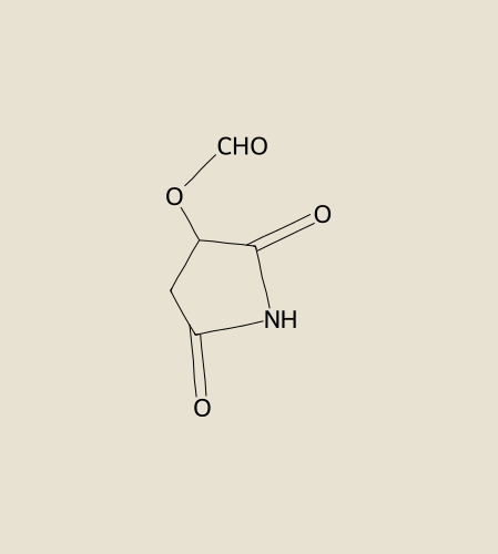 O=COC1CC(=O)NC1=O